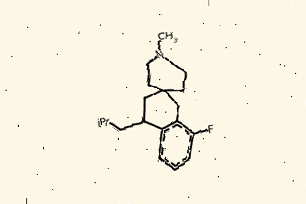 CC(C)CC1CC2(CCN(C)CC2)Cc2c(F)cccc21